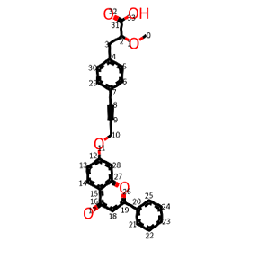 COC(Cc1ccc(C#CCOc2ccc3c(=O)cc(-c4ccccc4)oc3c2)cc1)C(=O)O